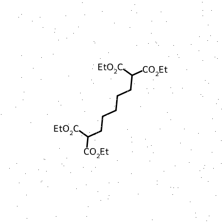 CCOC(=O)C(CCCCCC(C(=O)OCC)C(=O)OCC)C(=O)OCC